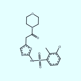 Cc1c(Cl)cccc1S(=O)(=O)Nc1ncc(CC(=O)N2CCOCC2)s1